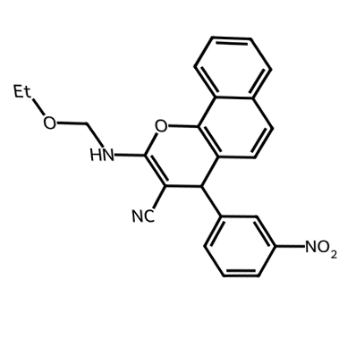 CCOCNC1=C(C#N)C(c2cccc([N+](=O)[O-])c2)c2ccc3ccccc3c2O1